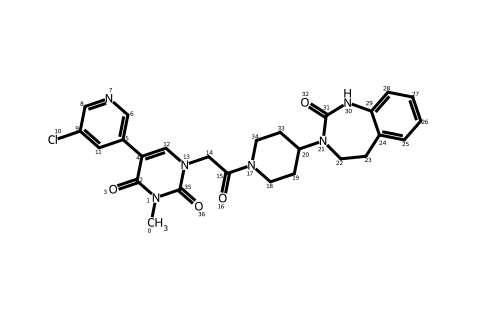 Cn1c(=O)c(-c2cncc(Cl)c2)cn(CC(=O)N2CCC(N3CCc4ccccc4NC3=O)CC2)c1=O